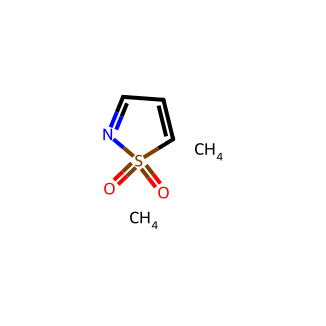 C.C.O=S1(=O)C=CC=N1